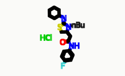 CCCCN1C(=NC2CCCCC2)SCC1CC(=O)Nc1ccc(F)cc1.Cl